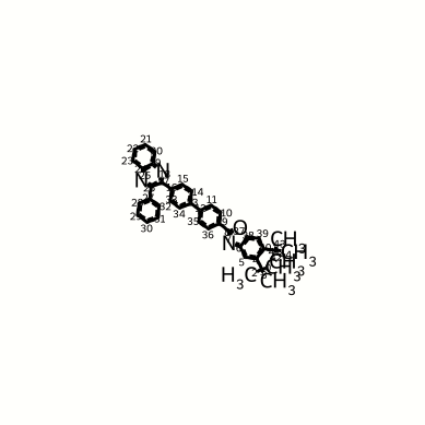 CC(C)(C)c1cc2nc(-c3ccc(-c4ccc(-c5nc6ccccc6nc5-c5ccccc5)cc4)cc3)oc2cc1C(C)(C)C